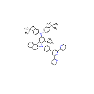 CC(C)(C)c1ccc(N(c2ccc(C(C)(C)C)cc2)c2cc3c4c(c2)c2c5ccccc5ccc2n4-c2ccc(-c4cc(-c5ccccn5)nc(-c5ccccn5)c4)cc2C3(C)C)cc1